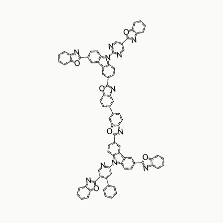 c1ccc(-c2cc(-n3c4ccc(-c5nc6ccccc6o5)cc4c4cc(-c5nc6ccc(-c7ccc8oc(-c9ccc%10c(c9)c9cc(-c%11nc%12ccccc%12o%11)ccc9n%10-c9ncc(-c%10nc%11ccccc%11o%10)cn9)nc8c7)cc6o5)ccc43)ncc2-c2nc3ccccc3o2)cc1